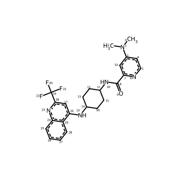 CN(C)c1ccnc(C(=O)NC2CCC(Nc3cc(C(F)(F)F)nc4ccccc34)CC2)c1